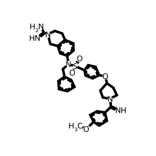 COc1ccc(C(=N)N2CCC(Oc3ccc(S(=O)(=O)N(Cc4ccccc4)c4ccc5c(c4)CN(C(=N)N)CC5)cc3)CC2)cc1